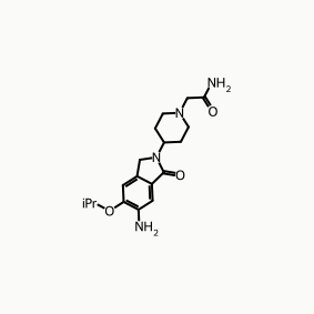 CC(C)Oc1cc2c(cc1N)C(=O)N(C1CCN(CC(N)=O)CC1)C2